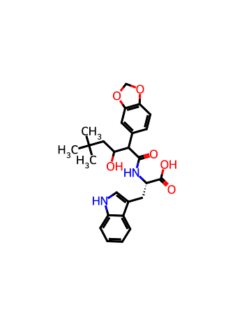 CC(C)(C)CC(O)C(C(=O)N[C@@H](Cc1c[nH]c2ccccc12)C(=O)O)c1ccc2c(c1)OCO2